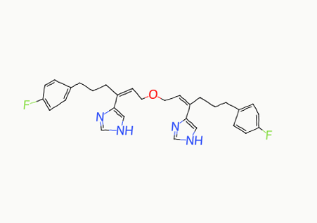 Fc1ccc(CCCC(=CCOCC=C(CCCc2ccc(F)cc2)c2c[nH]cn2)c2c[nH]cn2)cc1